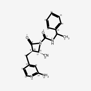 CC(NC(=O)N1C(=O)[C@H](Cc2ccnc(N)c2)[C@H]1C#N)c1ccccc1